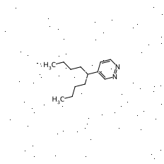 CCCCC(CCCC)c1ccnnc1